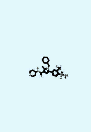 CNS(=O)(=O)c1ccc(-c2cc(C(=O)NC3CCOCC3)c(C)n2CC2CCCCC2)cc1C(F)(F)F